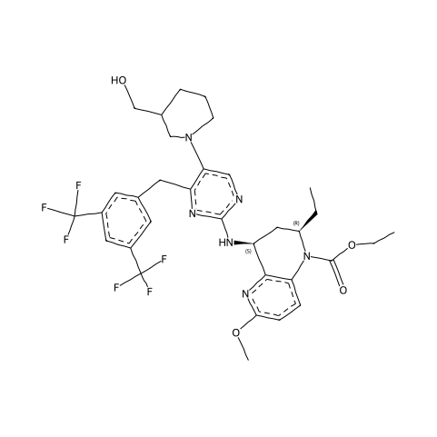 CCOC(=O)N1c2ccc(OC)nc2[C@@H](Nc2ncc(N3CCCC(CO)C3)c(Cc3cc(C(F)(F)F)cc(C(F)(F)F)c3)n2)C[C@H]1CC